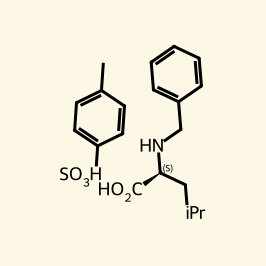 CC(C)C[C@H](NCc1ccccc1)C(=O)O.Cc1ccc(S(=O)(=O)O)cc1